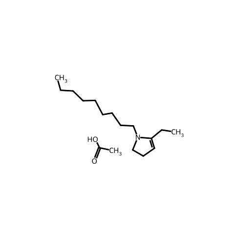 CC(=O)O.CCCCCCCCCN1CCC=C1CC